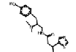 CN(C)C(CNC(=O)CC(c1cncs1)C1CC1)Cc1ccc(O)cc1